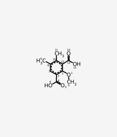 COc1c(C(=O)O)cc(C)c(C)c1C(=O)O